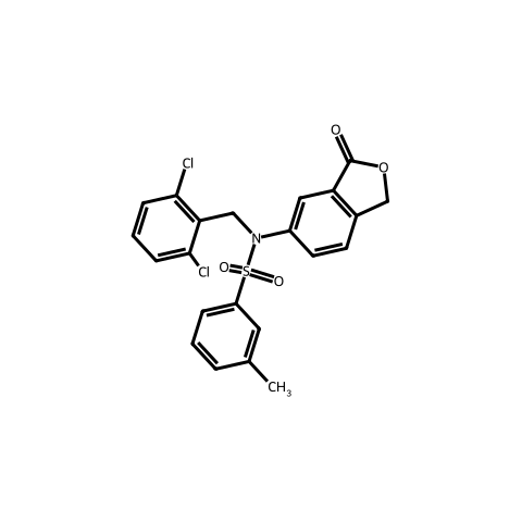 Cc1cccc(S(=O)(=O)N(Cc2c(Cl)cccc2Cl)c2ccc3c(c2)C(=O)OC3)c1